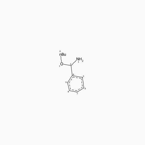 CCCCOC(N)c1ccccc1